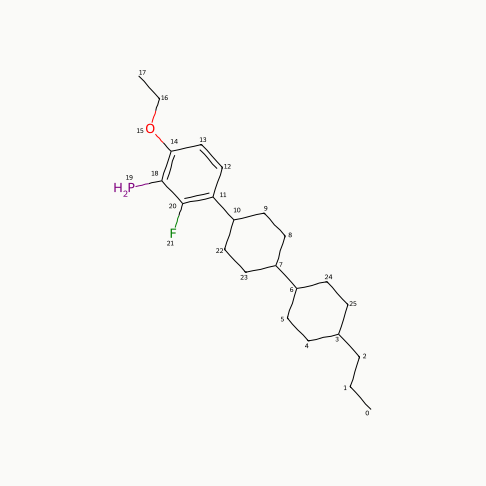 CCCC1CCC(C2CCC(c3ccc(OCC)c(P)c3F)CC2)CC1